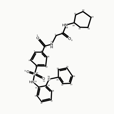 O=C(CNC(=O)c1ccc(S(=O)(=O)Nc2ccccc2Oc2ccccc2)cc1)NC1CCCCC1